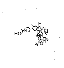 C=C(Cl)/C(=N\C(=N/C)Nc1cc(C)c(C2CCN(C(C)CO)CC2)cc1OC1CC1)Nc1cn(C)nc1S(=O)(=O)CC(C)C